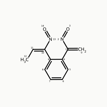 C=C(N=O)c1ccccc1/C(=C\C)N=O